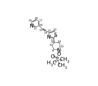 CC(C)(C)C(=O)ON1CCC(c2nc(C#Cc3cccnc3)cs2)CC1